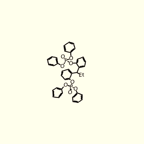 CCC(c1ccccc1OP(=O)(Oc1ccccc1)Oc1ccccc1)c1ccccc1OP(=O)(Oc1ccccc1)Oc1ccccc1